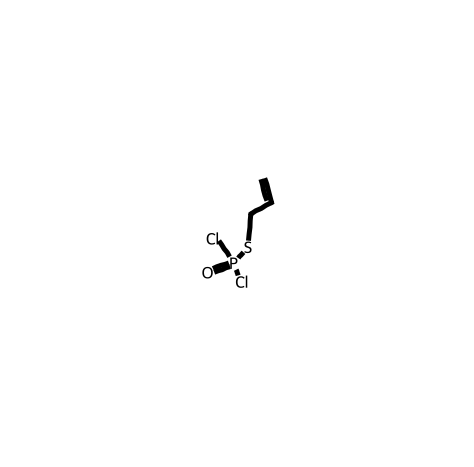 C=CCSP(=O)(Cl)Cl